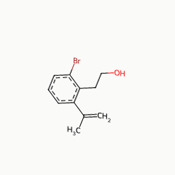 C=C(C)c1cccc(Br)c1CCO